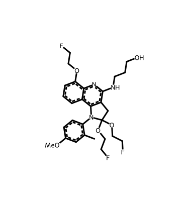 COc1ccc(N2c3c(c(NCCCO)nc4c(OCCF)cccc34)CC2(OCCF)OCCF)c(C)c1